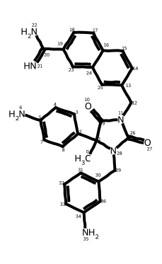 CC1(c2ccc(N)cc2)C(=O)N(Cc2ccc3ccc(C(=N)N)cc3c2)C(=O)N1Cc1cccc(N)c1